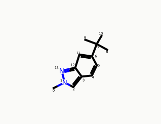 Cn1cc2ccc(C(C)(C)C)cc2n1